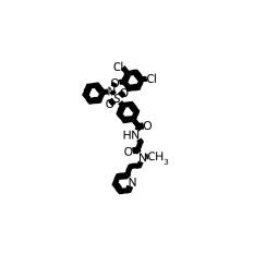 CN(CCc1ccccn1)C(=O)CNC(=O)c1ccc(S(=O)(=O)N(Oc2ccc(Cl)cc2Cl)c2ccccc2)cc1